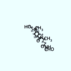 CC(CCC(=O)NC=O)N1Cc2cc(N(C)CCO)ccc2C1=O